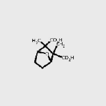 CC1(C(=O)O)C2CCC(O2)C1(C)C(=O)O